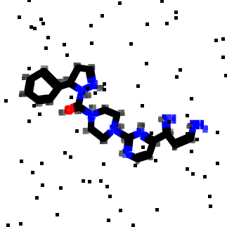 N=C(/C=C\N)c1ccnc(N2CCN(C(=O)N3N=CCC3c3ccccc3)CC2)n1